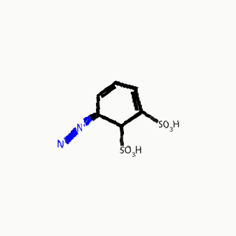 [N-]=[N+]=C1C=CC=C(S(=O)(=O)O)C1S(=O)(=O)O